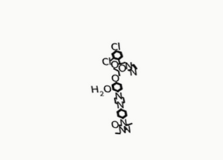 CCn1nc(C)n(-c2ccc(N3CCN(c4ccc(OCC5COC(Cn6ccnc6)(c6ccc(Cl)cc6Cl)O5)cc4)CC3)cc2)c1=O.O